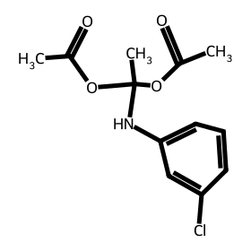 CC(=O)OC(C)(Nc1cccc(Cl)c1)OC(C)=O